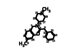 Cc1ccc(CN(C(=O)Cc2ccccc2)C2CCN(C)CC2)cc1